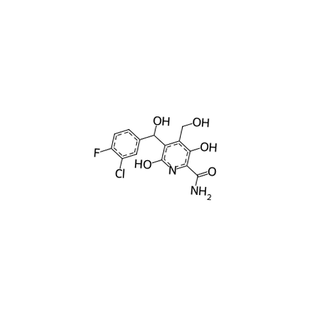 NC(=O)c1nc(O)c(C(O)c2ccc(F)c(Cl)c2)c(CO)c1O